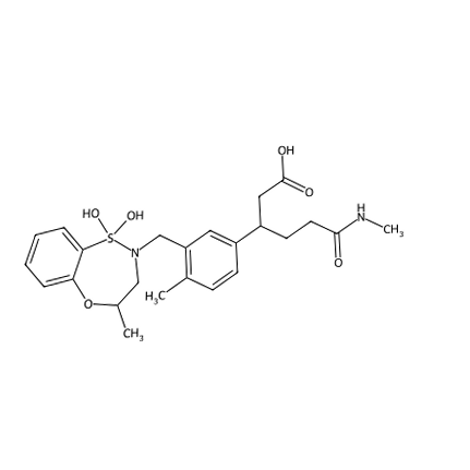 CNC(=O)CCC(CC(=O)O)c1ccc(C)c(CN2CC(C)Oc3ccccc3S2(O)O)c1